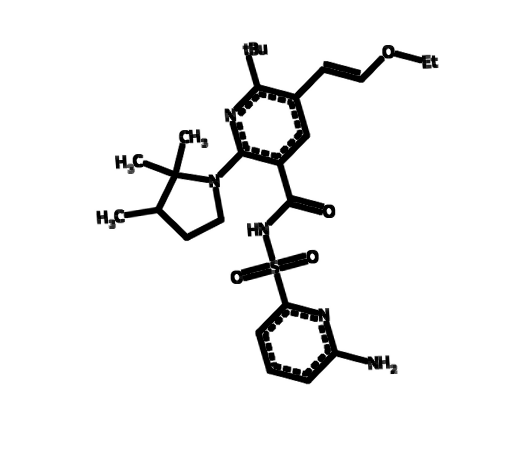 CCO/C=C/c1cc(C(=O)NS(=O)(=O)c2cccc(N)n2)c(N2CCC(C)C2(C)C)nc1C(C)(C)C